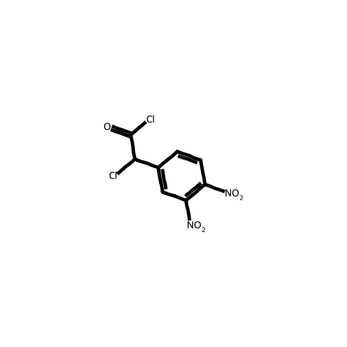 O=C(Cl)C(Cl)c1ccc([N+](=O)[O-])c([N+](=O)[O-])c1